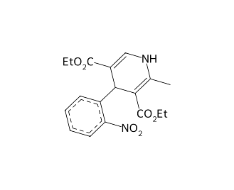 CCOC(=O)C1=CNC(C)=C(C(=O)OCC)C1c1ccccc1[N+](=O)[O-]